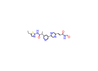 CCc1cnc(NC(=O)C(C)c2cncc(-c3cnc(C=CC(=O)NC=O)cn3)c2)s1